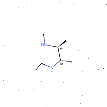 CCN[C@@H](C)[C@H](C)NC